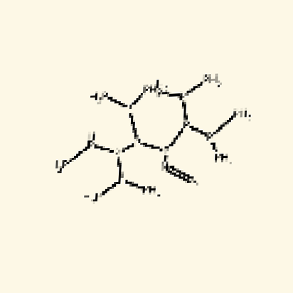 PPP(P(P)P)P(P(P)P)P(N=S)P(P(P)P)P(P)P